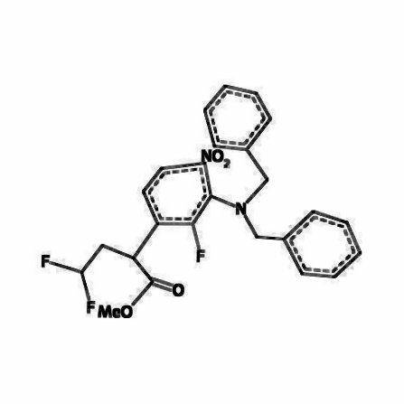 COC(=O)C(CC(F)F)c1ccc([N+](=O)[O-])c(N(Cc2ccccc2)Cc2ccccc2)c1F